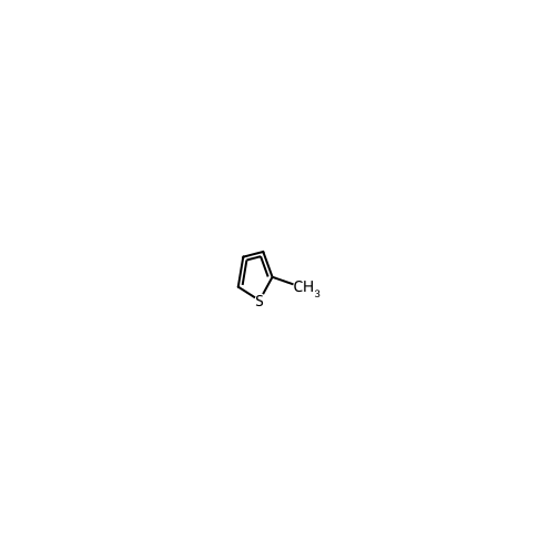 CC1=C=C=CS1